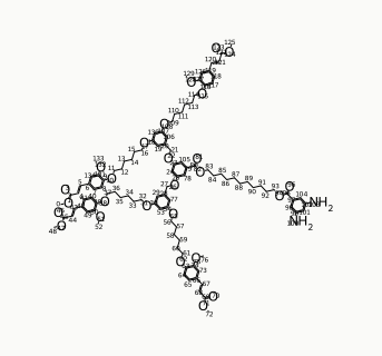 COC(=O)/C=C/c1ccc(OCCCCCCOc2cc(COc3cc(OCc4cc(OCCCCCCOc5ccc(/C=C/C(=O)OC)cc5OC)cc(OCCCCCCOc5ccc(/C=C/C(=O)OC)cc5OC)c4)cc(C(=O)OCCCCCCCCCCCOC(=O)c4cc(N)cc(N)c4)c3)cc(OCCCCCCOc3ccc(/C=C/C(=O)OC)cc3OC)c2)c(OC)c1